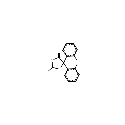 O=C1NC(O)NC12c1ccccc1Oc1ccccc12